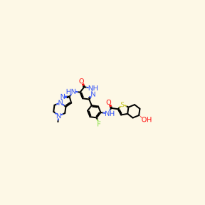 CN1CCn2nc(Nc3cc(-c4ccc(F)c(NC(=O)C5=CC6C[C@@H](O)CCC6S5)c4)n[nH]c3=O)cc2C1